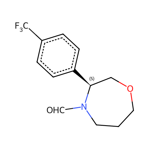 O=CN1CCCOC[C@@H]1c1ccc(C(F)(F)F)cc1